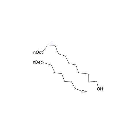 CCCCCCCC/C=C\CCCCCCCCO.CCCCCCCCCCCCCCCCO